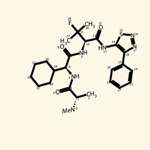 CN[C@@H](C)C(=O)N[C@H](C(=O)N[C@H](C(=O)Nc1snnc1-c1ccccc1)C(C)(C)F)C1CCCCC1